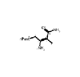 CCCCCCC(N)=C(C)C(N)=O